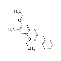 CCOc1cc(NC(=S)Cc2ccccc2)c(OCC)cc1N